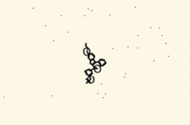 CCCOc1ccc2c(c1)CC(C(=O)c1cccc(OC(C)(C)C)c1)=C2c1ccccc1